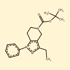 CCc1nn(-c2ccccc2)c2c1CN(C(=O)OC(C)(C)C)CC2